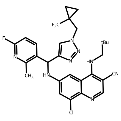 Cc1nc(F)ccc1C(Nc1cc(Cl)c2ncc(C#N)c(NCC(C)(C)C)c2c1)c1cn(CC2(C(F)(F)F)CC2)nn1